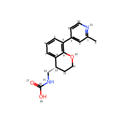 Cc1cc(-c2cccc3c2OCC[C@@H]3CNC(=O)O)ccn1